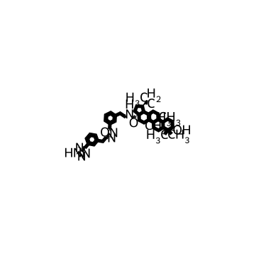 C=C(C)[C@@H]1CC[C@]2(C(=O)NCCc3cccc(-c4nnc(Cc5cccc(-c6nn[nH]n6)c5)o4)c3)CC[C@]3(C)C(CCC4[C@@]5(C)CC[C@H](O)C(C)(C)C5CC[C@]43C)C12